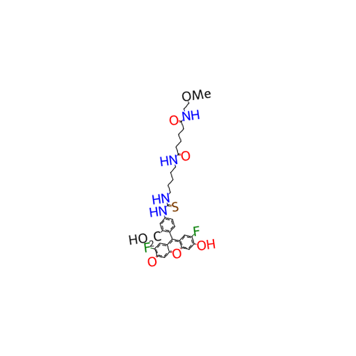 COCCNC(=O)CCCCC(=O)NCCCCCNC(=S)Nc1ccc(-c2c3cc(F)c(=O)cc-3oc3cc(O)c(F)cc23)c(C(=O)O)c1